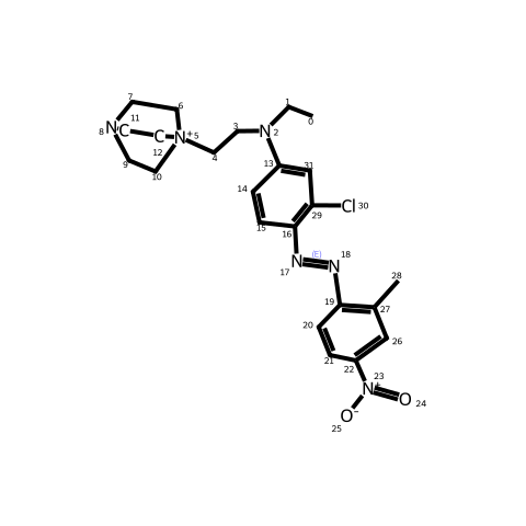 CCN(CC[N+]12CCN(CC1)CC2)c1ccc(/N=N/c2ccc([N+](=O)[O-])cc2C)c(Cl)c1